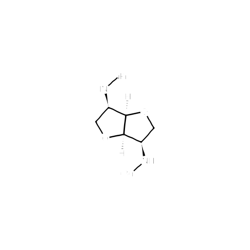 CC(C)N[C@@H]1CO[C@H]2[C@@H]1OC[C@H]2NC(C)(C)C